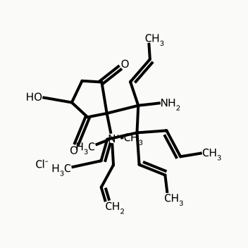 C=CC[N+](C)(C)C1(C(N)(C=CC)C(C=CC)(C=CC)C=CC)C(=O)CC(O)C1=O.[Cl-]